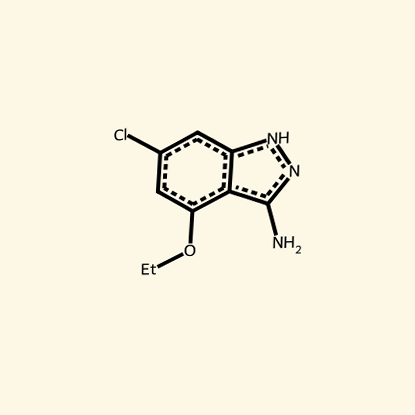 CCOc1cc(Cl)cc2[nH]nc(N)c12